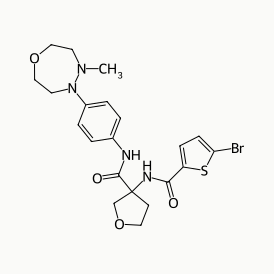 CN1CCOCCN1c1ccc(NC(=O)C2(NC(=O)c3ccc(Br)s3)CCOC2)cc1